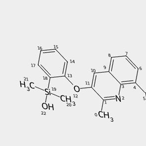 Cc1nc2c(F)cccc2cc1Oc1ccccc1[Si](C)(C)O